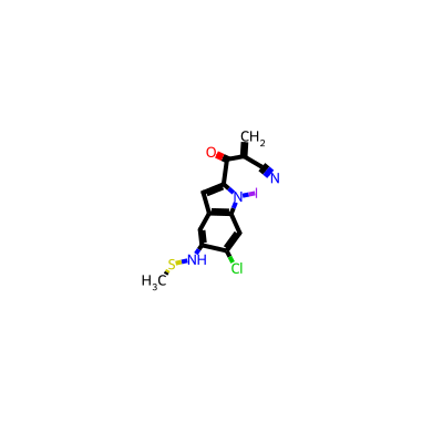 C=C(C#N)C(=O)c1cc2cc(NSC)c(Cl)cc2n1I